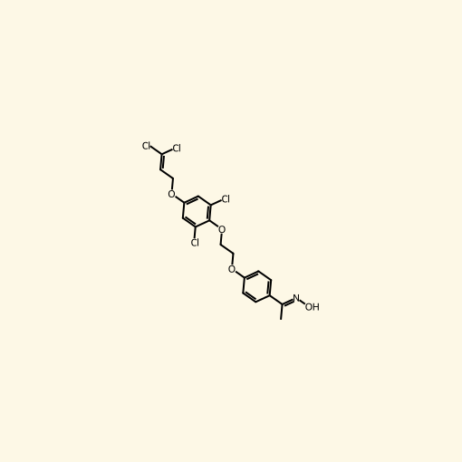 CC(=NO)c1ccc(OCCOc2c(Cl)cc(OCC=C(Cl)Cl)cc2Cl)cc1